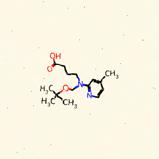 Cc1ccnc(N(CCCC(=O)O)COC(C)(C)C)c1